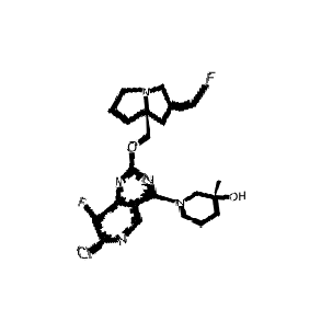 C[C@@]1(O)CCCN(c2nc(OC[C@@]34CCCN3C/C(=C\F)C4)nc3c(F)c(Cl)ncc23)C1